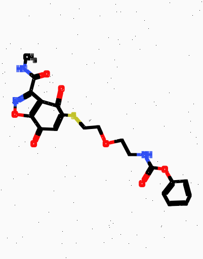 CNC(=O)c1noc2c1C(=O)C(SCCOCCNC(=O)Oc1ccccc1)=CC2=O